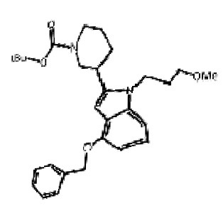 COCCCn1c(C2CCCN(C(=O)OC(C)(C)C)C2)cc2c(OCc3ccccc3)cccc21